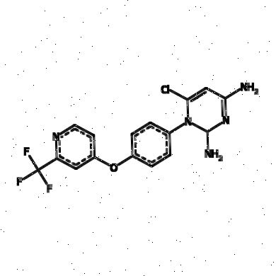 NC1=NC(N)N(c2ccc(Oc3ccnc(C(F)(F)F)c3)cc2)C(Cl)=C1